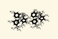 CC1=C(C)C(C)([Si](C)(c2cc(C)cc([Si](C)(C)C)c2)c2ccc(C)cc2C)[C]([Ti]([CH3])([CH3])[CH3])=C1C.CC1=C(C)C(C)([Si](C)(c2cc(C)cc([Si](C)(C)C)c2)c2cccc(C)c2C)[C]([Ti]([CH3])([CH3])[CH3])=C1C